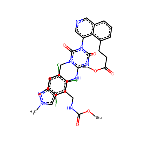 Cn1cc2c(CNC(=O)OC(C)(C)C)c(Nc3nc(=O)n(-c4cncc5cccc(CCC(=O)OC(C)(C)C)c45)c(=O)n3Cc3cc(F)c(F)cc3F)c(Cl)cc2n1